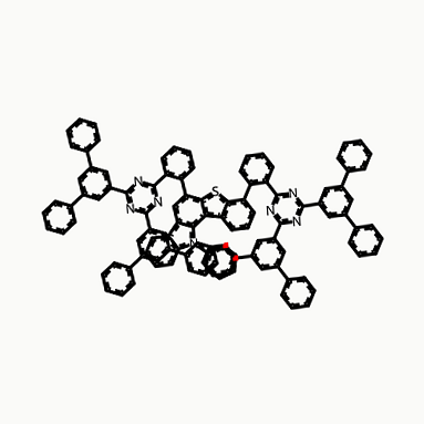 c1ccc(-c2cc(-c3ccccc3)cc(-c3nc(-c4cc(-c5ccccc5)cc(-c5ccccc5)c4)nc(-c4ccccc4-c4cccc5c4sc4c(-c6ccccc6-c6nc(-c7cc(-c8ccccc8)cc(-c8ccccc8)c7)nc(-c7cc(-c8ccccc8)cc(-c8ccccc8)c7)n6)cc6c7ccccc7n(-c7ccccc7)c6c45)n3)c2)cc1